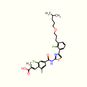 CC(=Cc1c(F)cc(C(=O)Nc2nc(-c3cccc(CCCOCCCC(C)C)c3F)cs2)cc1F)C(=O)O